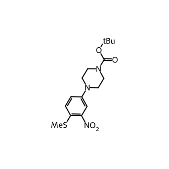 CSc1ccc(N2CCN(C(=O)OC(C)(C)C)CC2)cc1[N+](=O)[O-]